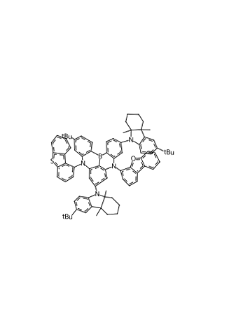 CC(C)(C)c1ccc2c(c1)N(c1cccc3sc4ccccc4c13)c1cc(N3c4ccc(C(C)(C)C)cc4C4(C)CCCCC34C)cc3c1B2c1ccc(N2c4ccc(C(C)(C)C)cc4C4(C)CCCCC24C)cc1N3c1cccc2c1oc1ccccc12